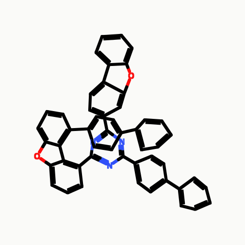 c1ccc(-c2ccc(-c3nc(-c4ccc5c(c4)oc4ccccc45)nc(-c4cccc5oc6cccc(-c7ccc(-c8ccccc8)cc7)c6c45)n3)cc2)cc1